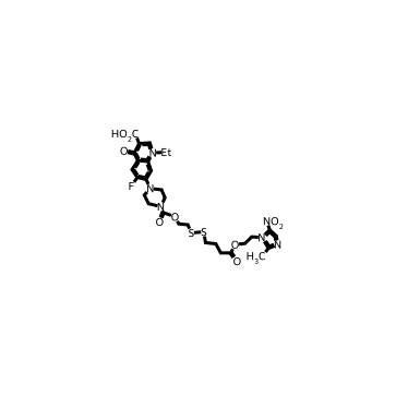 CCn1cc(C(=O)O)c(=O)c2cc(F)c(N3CCN(C(=O)OCCSSCCCC(=O)OCCn4c([N+](=O)[O-])cnc4C)CC3)cc21